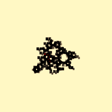 CCC[C@@H]1NC(=O)[C@H](C)NC(=O)[C@H](NC(=O)[C@H](CO)NC(=O)[C@@H](NC(=O)[C@H](NC(=O)[C@@H](CCCNC(=N)N)NC(=O)[C@H](CCCNC(=N)N)NC(=O)[C@@H](NC(=O)[C@@H](Cc2ccccc2)NC)[C@@H](C)CC)[C@H](C)CC)[C@@H](C)CC)[C@H](C)OC(=O)[C@H]([C@@H](C)CC)NC1=O